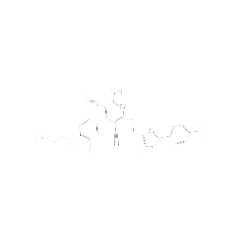 [C-]#[N+]c1c(N)nc(SCc2nc(-c3ccc(OC)cc3)oc2C)c(C#N)c1-c1ccc(OCCO)c(F)c1